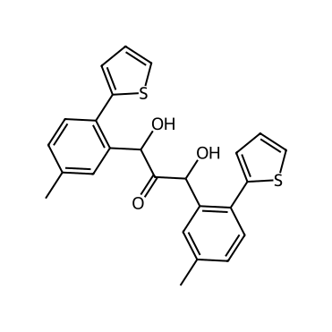 Cc1ccc(-c2cccs2)c(C(O)C(=O)C(O)c2cc(C)ccc2-c2cccs2)c1